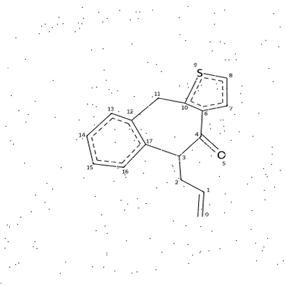 C=CCC1C(=O)c2ccsc2Cc2ccccc21